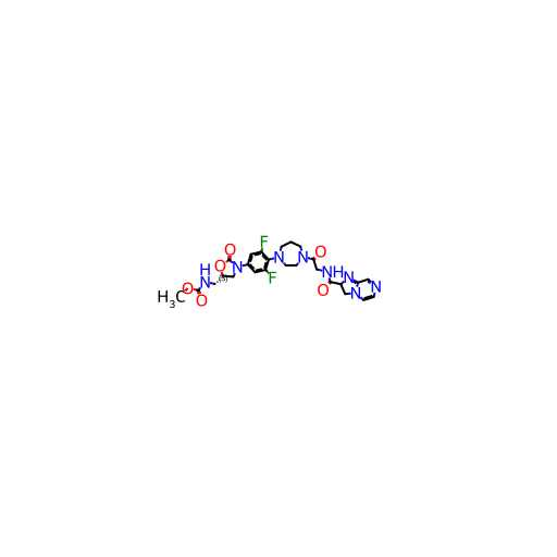 COC(=O)NC[C@H]1CN(c2cc(F)c(N3CCCN(C(=O)CNC(=O)C4CN5C=CN=CC5=N4)CC3)c(F)c2)C(=O)O1